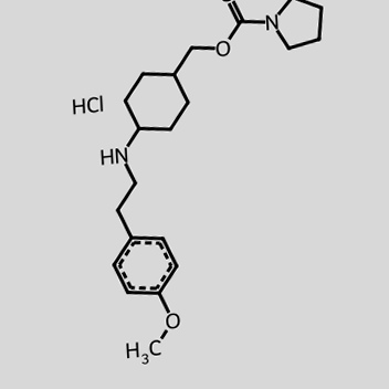 COc1ccc(CCNC2CCC(COC(=O)N3CCCC3)CC2)cc1.Cl